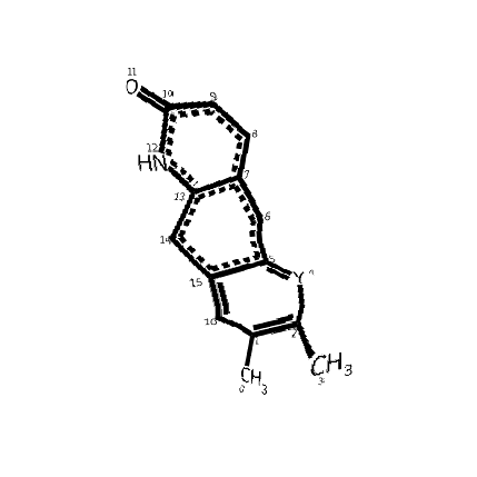 CC1=[C](C)[Y]=[c]2cc3ccc(=O)[nH]c3cc2=C1